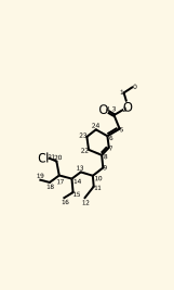 CCOC(=O)/C=C1/C=C(CC(CC)CC(CC)C(CC)CCl)CCC1